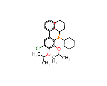 CC(C)Oc1c(Cl)cc(-c2ccccc2)c(P(C2CCCCC2)C2CCCCC2)c1OC(C)C